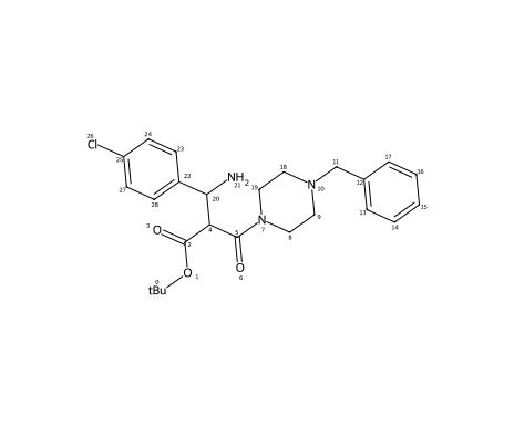 CC(C)(C)OC(=O)C(C(=O)N1CCN(Cc2ccccc2)CC1)C(N)c1ccc(Cl)cc1